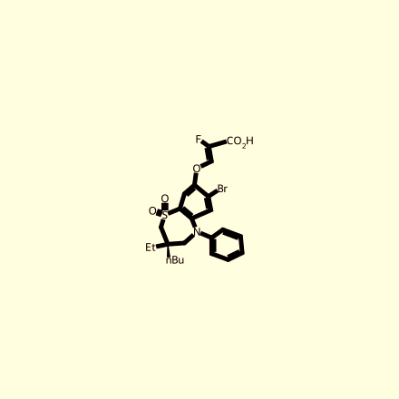 CCCC[C@]1(CC)CN(c2ccccc2)c2cc(Br)c(O/C=C(\F)C(=O)O)cc2S(=O)(=O)C1